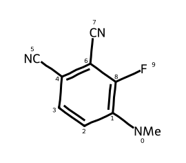 CNc1ccc(C#N)c(C#N)c1F